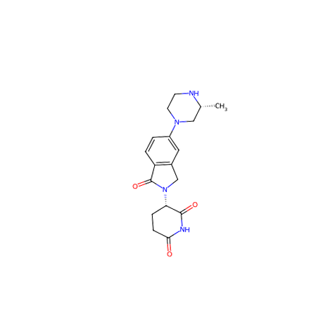 C[C@@H]1CN(c2ccc3c(c2)CN([C@H]2CCC(=O)NC2=O)C3=O)CCN1